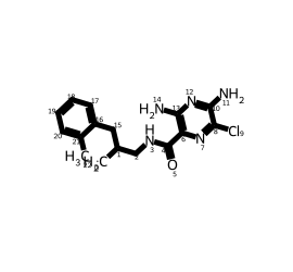 [CH2]C(CNC(=O)c1nc(Cl)c(N)nc1N)Cc1ccccc1C